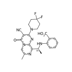 Cc1cn2c(=O)c(C#N)c(N3CCC(F)(F)CC3)nc2c([C@H](C)Nc2ccccc2C(=O)O)n1